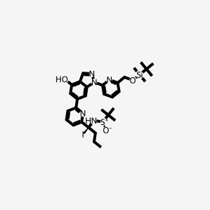 CCC[C@@](I)(N[S@+]([O-])C(C)(C)C)c1cccc(-c2cc(O)c3cnn(-c4cccc(CO[Si](C)(C)C(C)(C)C)n4)c3c2)n1